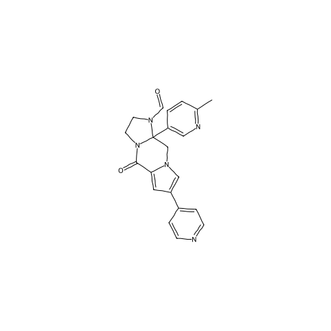 Cc1ccc(C23Cn4cc(-c5ccncc5)cc4C(=O)N2CCN3C=O)cn1